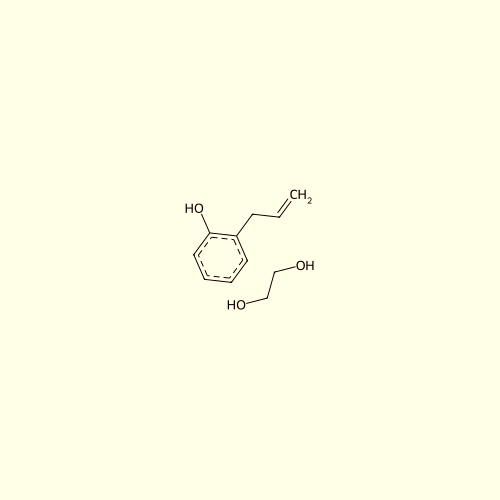 C=CCc1ccccc1O.OCCO